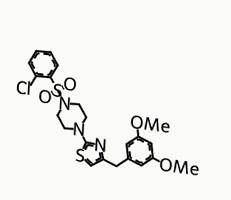 COc1cc(Cc2csc(N3CCN(S(=O)(=O)c4ccccc4Cl)CC3)n2)cc(OC)c1